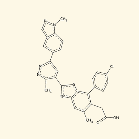 Cc1cc2nc(-c3cc(-c4ccc5c(cnn5C)c4)nnc3C)sc2c(-c2ccc(Cl)cc2)c1CC(=O)O